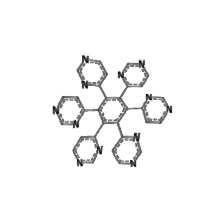 c1cc(-c2c(-c3ccncn3)c(-c3ccncn3)c(-c3ccncn3)c(-c3ccncn3)c2-c2ccncn2)ncn1